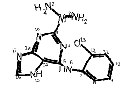 NN(N)c1nc(Nc2ccccc2Cl)c2[nH]cnc2n1